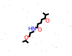 CC(C)OCCCNC(=O)CCCC(=O)C(C)C